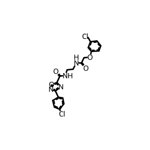 O=C(COc1cccc(Cl)c1)NCCNC(=O)c1nc(-c2ccc(Cl)cc2)no1